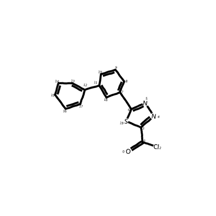 O=C(Cl)c1nnc(-c2cccc(-c3ccccc3)c2)s1